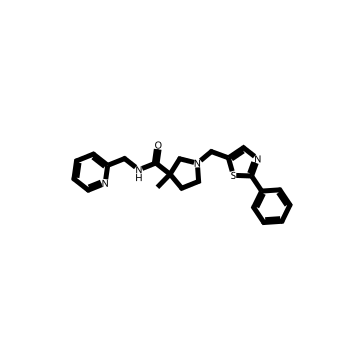 CC1(C(=O)NCc2ccccn2)CCN(Cc2cnc(-c3ccccc3)s2)C1